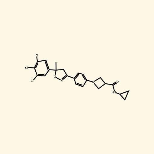 CC1(c2cc(Cl)c(Cl)c(Cl)c2)CC(c2ccc(N3CC(C(=O)NC4CC4)C3)cc2)=NO1